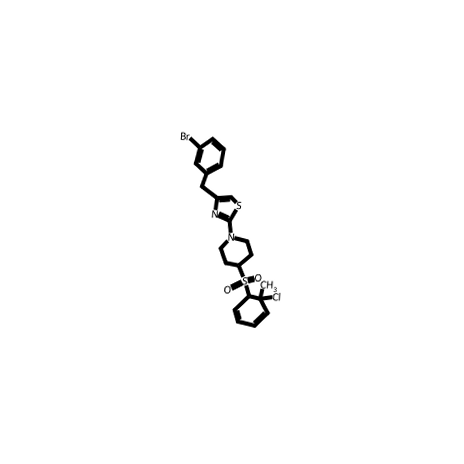 CC1(Cl)C=CC=CC1S(=O)(=O)C1CCN(c2nc(Cc3cccc(Br)c3)cs2)CC1